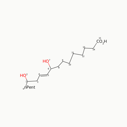 CCCCCC(O)CC=CC(O)CCCCCCCC(=O)O